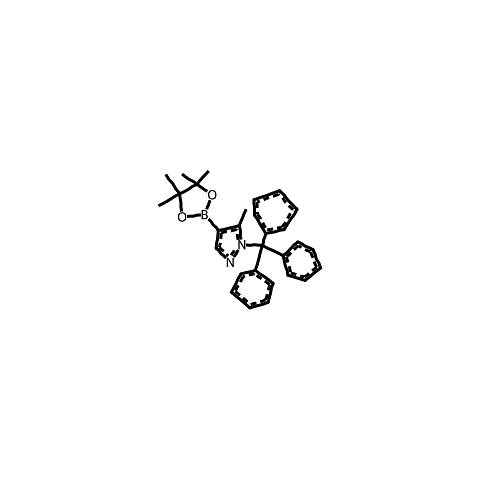 Cc1c(B2OC(C)(C)C(C)(C)O2)cnn1C(c1ccccc1)(c1ccccc1)c1ccccc1